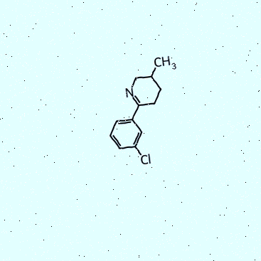 CC1CCC(c2cccc(Cl)c2)=NC1